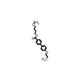 CCCOc1ccc(-c2ccc(C(=O)OCCCCOC)cc2)cc1